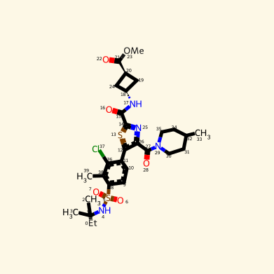 CCC(C)(C)NS(=O)(=O)c1ccc(-c2sc(C(=O)N[C@H]3C[C@H](C(=O)OC)C3)nc2C(=O)N2CCC(C)CC2)c(Cl)c1C